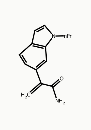 C=C(C(N)=O)c1ccc2ccn(CCC)c2c1